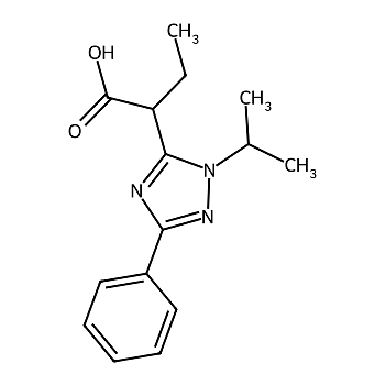 CCC(C(=O)O)c1nc(-c2ccccc2)nn1C(C)C